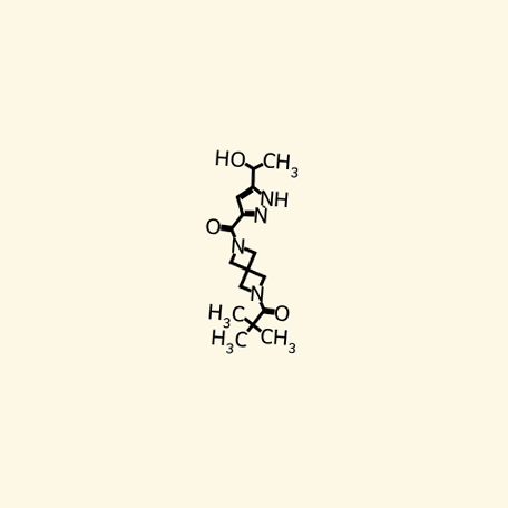 CC(O)c1cc(C(=O)N2CC3(C2)CN(C(=O)C(C)(C)C)C3)n[nH]1